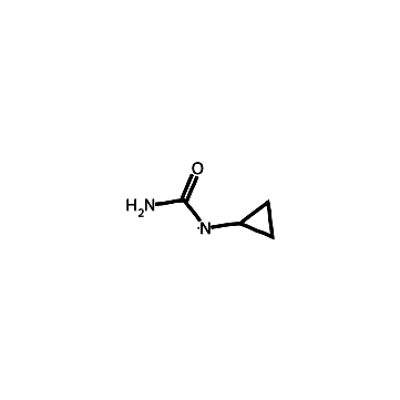 NC(=O)[N]C1CC1